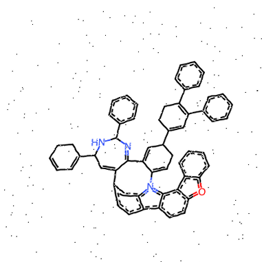 C1=CCCC(C2C=C3C(=NC(c4ccccc4)N2)C2=CC(C4=CC(c5ccccc5)=C(c5ccccc5)CC4)CC=C2n2c4cc3ccc4c3ccc4oc5ccccc5c4c32)=C1